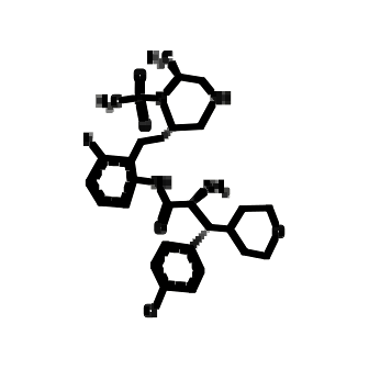 C[C@H]1CNC[C@H](CCc2c(F)cccc2NC(=O)[C@@H](N)[C@@H](c2ccc(Cl)cc2)C2CCOCC2)N1S(C)(=O)=O